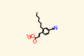 CCCCCCc1cc(C#N)ccc1C=CC(=O)OOC